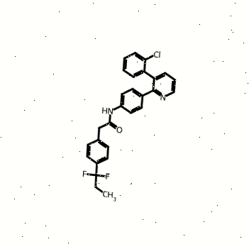 CCC(F)(F)c1ccc(CC(=O)Nc2ccc(-c3ncccc3-c3ccccc3Cl)cc2)cc1